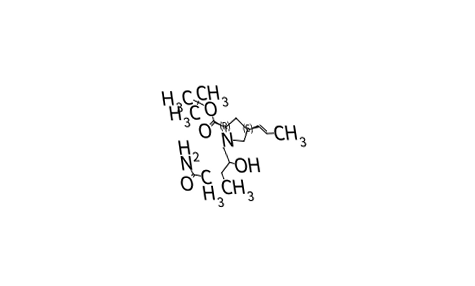 CC(N)=O.CC=C[C@@H]1C[C@H](C(=O)OC(C)(C)C)N(CC(O)CC)C1